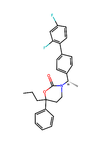 CCCC1(c2ccccc2)CCN([C@@H](C)c2ccc(-c3ccc(F)cc3F)cc2)C(=O)O1